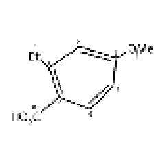 CCc1cc(OC)ccc1C(=O)O